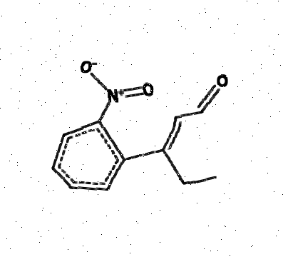 CCC(=CC=O)c1ccccc1[N+](=O)[O-]